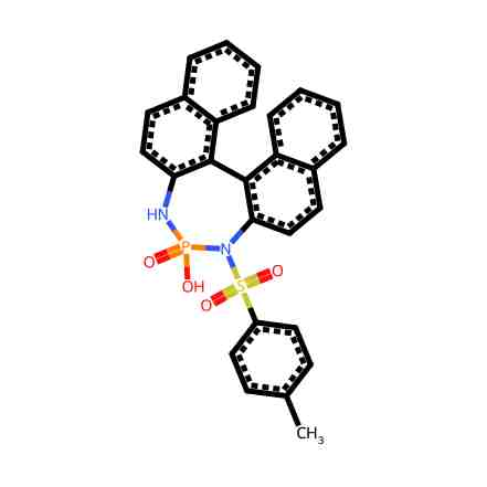 Cc1ccc(S(=O)(=O)N2c3ccc4ccccc4c3-c3c(ccc4ccccc34)NP2(=O)O)cc1